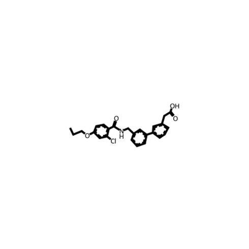 CCCOc1ccc(C(=O)NCc2cccc(-c3cccc(CC(=O)O)c3)c2)c(Cl)c1